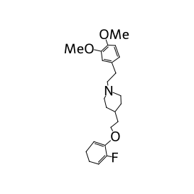 COc1ccc(CCN2CCC(CCOC3=CCCC=C3F)CC2)cc1OC